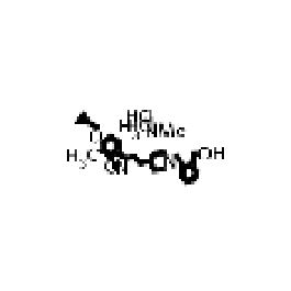 CNC.Cc1c(OCC2CC2)ccc2c(CCC3CCN(Cc4ccccc4CO)CC3)noc12.Cl.Cl